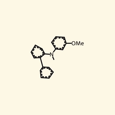 COc1cccc(N(C)c2ccccc2-c2ccccc2)c1